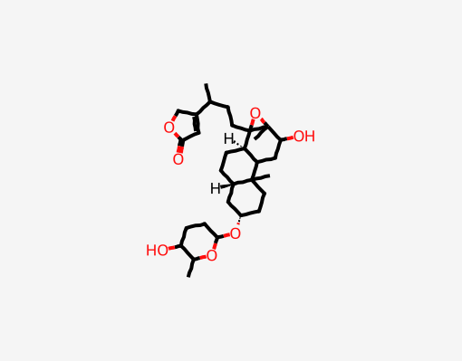 CC(CCC12OC1(C)C(O)CC1[C@H]2CC[C@H]2C[C@@H](OC3CCC(O)C(C)O3)CCC12C)C1=CC(=O)OC1